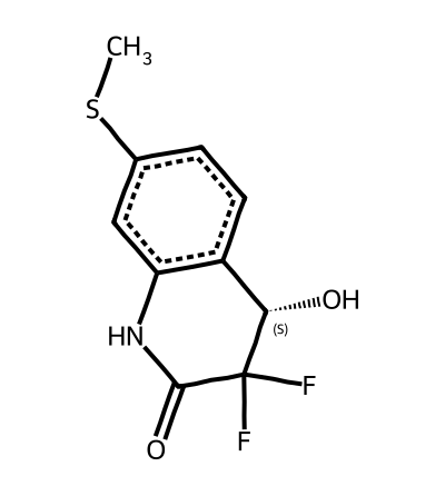 CSc1ccc2c(c1)NC(=O)C(F)(F)[C@H]2O